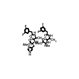 CCCC[C@H](NC(=O)[C@H](C)NC(=O)Cc1cc(F)cc(F)c1)C(=O)OC.COC(=O)[C@H](Cc1c[nH]cn1)NC(=O)[C@H](C)NC(=O)Cc1cc(F)cc(F)c1